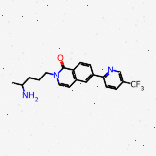 CC(N)CCCn1ccc2cc(-c3ccc(C(F)(F)F)cn3)ccc2c1=O